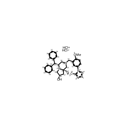 COc1ccc(-n2nnnc2C(F)(F)F)cc1CN1C[C@@H]2C[C@@H](O)CN2[C@@H](C(c2ccccc2)c2ccccc2)C1.Cl.Cl